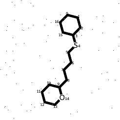 C1CCC(SCCCCC2CCCCO2)CC1